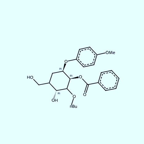 CCCCOC1[C@H](O)C(CO)C[C@@H](Oc2ccc(OC)cc2)[C@H]1OC(=O)c1ccccc1